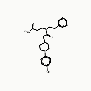 COC(=O)CCN(CCc1ccccc1)C(=O)CC1CCN(c2ccc(C#N)cc2)CC1